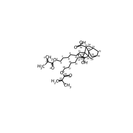 C=C(C)C(=O)OCCCCCCC1(CCCCCCOC(=O)C(=C)C)C2(C(=O)O)CC3CC(C2)CC1(C(=O)O)C3